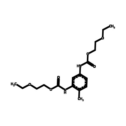 CCOCCOC(=O)Nc1ccc(C)c(NC(=O)OCCOCC)c1